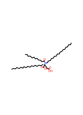 CCCCCCCCCCCCCCCCCCN(C(=O)CCCCCCCCCCC)[C@@](CCCCCCCCCCCCCCCCCC)(CCC(=O)O)C(=O)O